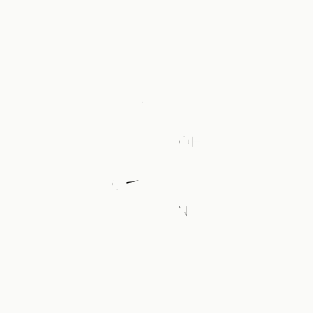 N#C[C@@H](Cl)[C@@H](O)CCl